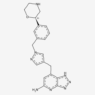 Nc1cc(Cc2cnn(Cc3cccc([C@@H]4CNCCO4)c3)c2)c2[nH]nnc2n1